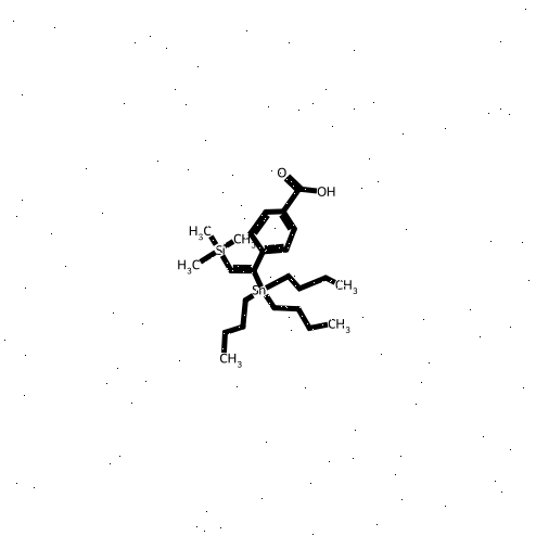 CCC[CH2][Sn]([CH2]CCC)([CH2]CCC)[C](=C[Si](C)(C)C)c1ccc(C(=O)O)cc1